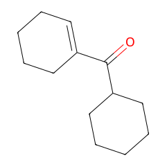 O=C(C1=CCCCC1)C1CCCCC1